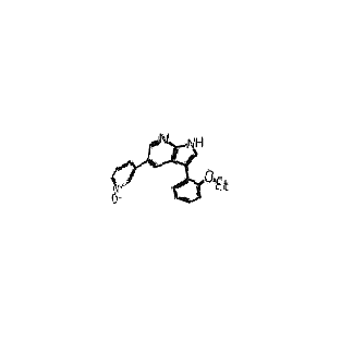 CCOc1ccccc1-c1c[nH]c2ncc(-c3ccc[n+]([O-])c3)cc12